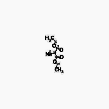 CCOC(=O)[CH]([Na])C(=O)OCC